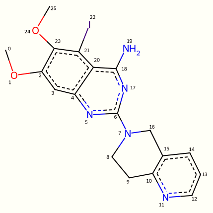 COc1cc2nc(N3CCc4ncccc4C3)nc(N)c2c(I)c1OC